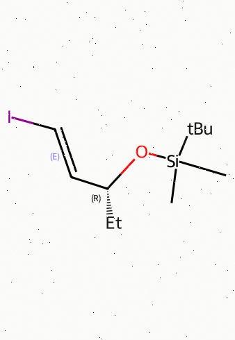 CC[C@H](/C=C/I)O[Si](C)(C)C(C)(C)C